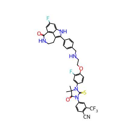 CC1(C)C(=O)N(c2ccc(C#N)c(C(F)(F)F)c2)C(=S)N1c1ccc(OCCNCc2ccc(-c3[nH]c4cc(F)cc5c4c3CCNC5=O)cc2)c(F)c1